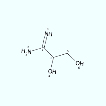 N=C(N)C(O)CO